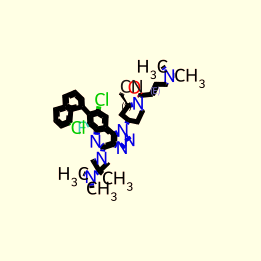 CN(C)C/C=C/C(=O)N1CCC(n2nnc3c(N4CC(C)(N(C)C)C4)nc4c(F)c(-c5cccc6cccc(Cl)c56)c(Cl)cc4c32)C[C@H]1CC#N